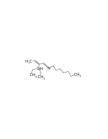 CC=C(C=NCCCCCCC)[SiH](CC)CC